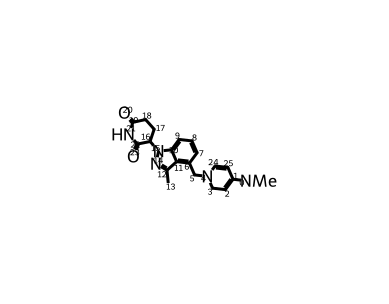 CNC1=CCN(Cc2cccc3c2c(C)nn3C2CCC(=O)NC2=O)C=C1